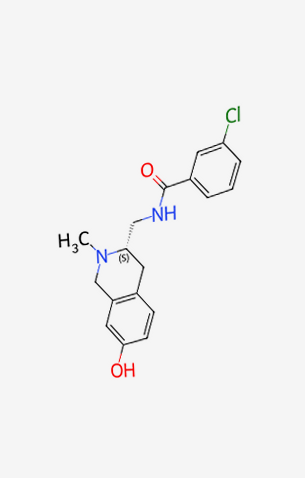 CN1Cc2cc(O)ccc2C[C@H]1CNC(=O)c1cccc(Cl)c1